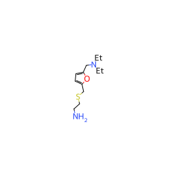 CCN(CC)Cc1ccc(CSCCN)o1